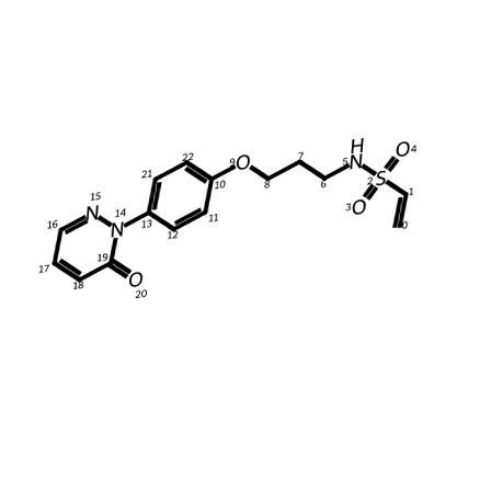 C=CS(=O)(=O)NCCCOc1ccc(-n2ncccc2=O)cc1